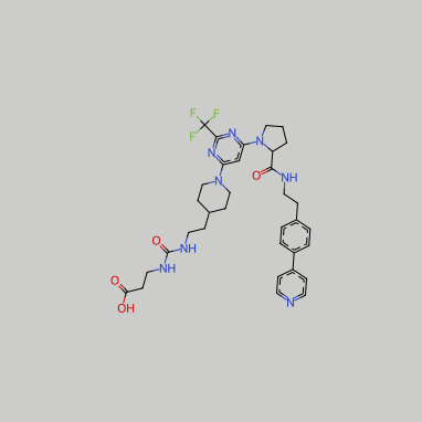 O=C(O)CCNC(=O)NCCC1CCN(c2cc(N3CCCC3C(=O)NCCc3ccc(-c4ccncc4)cc3)nc(C(F)(F)F)n2)CC1